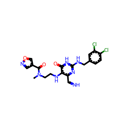 CN(CCNc1c(C=N)nc(NCc2ccc(Cl)c(Cl)c2)[nH]c1=O)C(=O)c1cnoc1